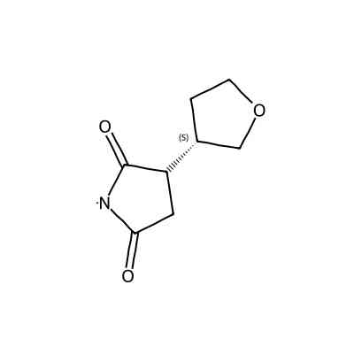 O=C1CC([C@@H]2CCOC2)C(=O)[N]1